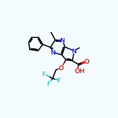 Cc1nc2c(nc1-c1ccccc1)c(OCC(F)(F)F)c(C(=O)O)n2C